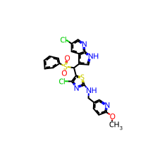 COc1ccc(CNc2nc(Cl)c(C(c3c[nH]c4ncc(Cl)cc34)S(=O)(=O)c3ccccc3)s2)cn1